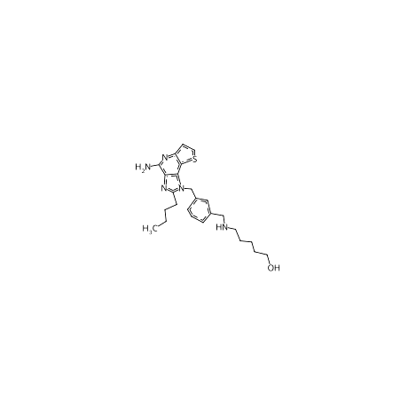 CCCCc1nc2c(N)nc3ccsc3c2n1Cc1cccc(CNCCCCCO)c1